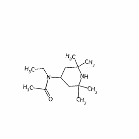 CCN(C(C)=O)C1CC(C)(C)NC(C)(C)C1